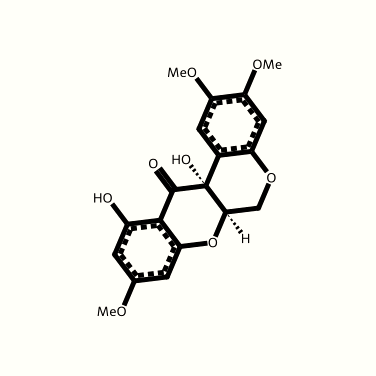 COc1cc(O)c2c(c1)O[C@@H]1COc3cc(OC)c(OC)cc3[C@]1(O)C2=O